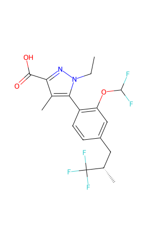 CCn1nc(C(=O)O)c(C)c1-c1ccc(C[C@H](C)C(F)(F)F)cc1OC(F)F